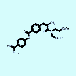 CCOC(=O)CN(CCOC)C(=O)C(C)=Cc1ccc(C(=O)Oc2ccc(C(=N)N)cc2)cc1